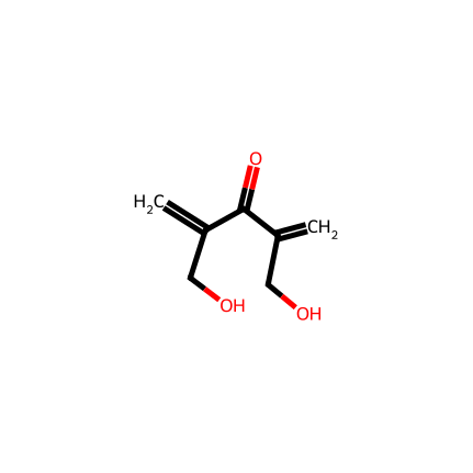 C=C(CO)C(=O)C(=C)CO